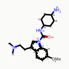 COc1ccc2c(CCN(C)C)cn(C(=O)NC3CCC(N)CC3)c2c1